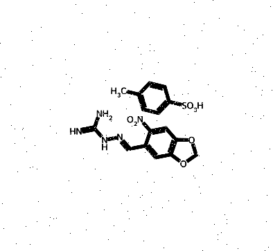 Cc1ccc(S(=O)(=O)O)cc1.N=C(N)NN=Cc1cc2c(cc1[N+](=O)[O-])OCO2